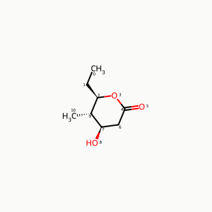 CC[C@H]1OC(=O)C[C@@H](O)[C@@H]1C